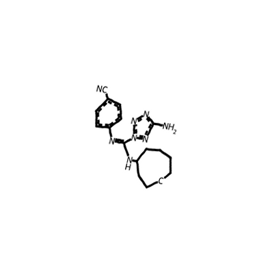 N#Cc1ccc(N=C(NC2CCCCCCC2)n2nnc(N)n2)cc1